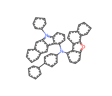 c1ccc(-c2ccc(N(c3cccc4oc5c6ccccc6ccc5c34)c3cccc4c3c3cc5ccccc5cc3n4-c3ccccc3)cc2)cc1